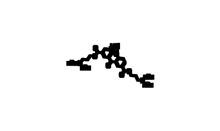 CCCCN(CCCC)CCCOC(=O)c1ccc2oc3ccc(C(=O)OCCCN(CCCC)CCCC)cc3c(=O)c2c1.Cl.Cl